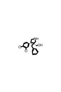 OC[C@@]1(Cc2ccccc2)CNC[C@H]1c1ccc(Cl)c(Cl)c1